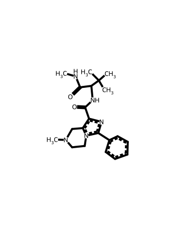 CNC(=O)C(NC(=O)c1nc(-c2ccccc2)n2c1CN(C)CC2)C(C)(C)C